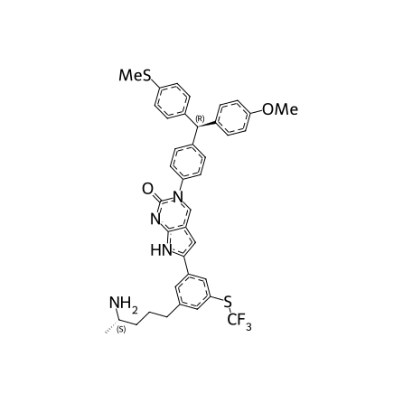 COc1ccc([C@H](c2ccc(SC)cc2)c2ccc(-n3cc4cc(-c5cc(CCC[C@H](C)N)cc(SC(F)(F)F)c5)[nH]c4nc3=O)cc2)cc1